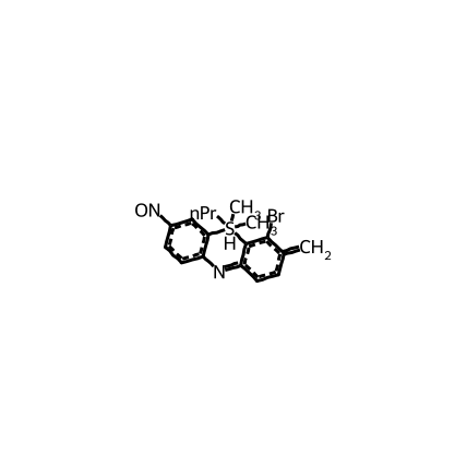 C=c1ccc2c(c1Br)[SH](C)(C)(CCC)c1cc(N=O)ccc1N=2